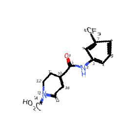 O=C(Nc1cccc(C(F)(F)F)c1)C1CCN(C(=O)O)CC1